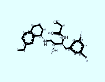 CCc1ccc2c(c1)[C@@H](NC[C@@H](O)[C@H](Cc1cc(F)cc(F)c1)NC(=O)CCl)CCC2